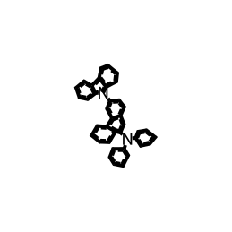 c1ccc(N(c2ccccc2)c2cc3ccc(-n4c5ccccc5c5ccccc54)cc3c3ccccc23)cc1